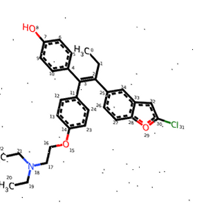 CCC(=C(c1ccc(O)cc1)c1ccc(OCCN(CC)CC)cc1)c1ccc2oc(Cl)cc2c1